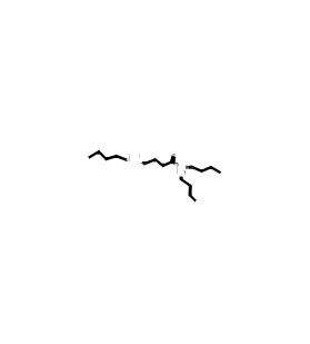 CCCCCOCCCC(=O)N(CCCC)CCCC